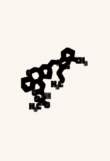 CCCc1nc2c(C)cccc2n1Cc1ccc2c(c1)COc1ccccc1C2=CC(=O)NS(C)(=O)=O